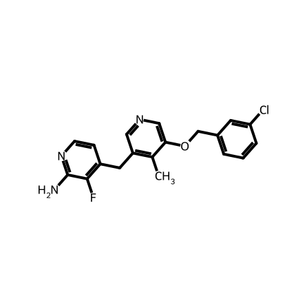 Cc1c(Cc2ccnc(N)c2F)cncc1OCc1cccc(Cl)c1